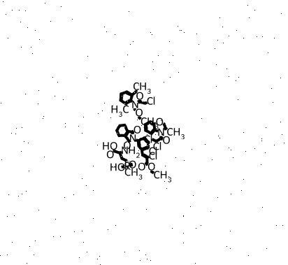 CC1COc2ccccc2N1C(=O)C(Cl)Cl.CCOC(=O)/C(Cl)=C/c1cc(N2C(=O)C3=C(CCCC3)C2=O)ccc1Cl.CCOCN(C(=O)CCl)c1c(C)cccc1CC.CP(=O)(O)CCC(N)C(=O)O